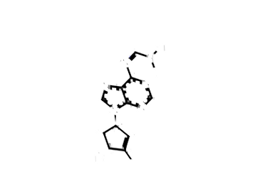 CN(C)/C=N\c1ncnc2c1ncn2[C@H]1C=C(F)[C@H](O)C1